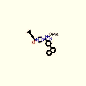 COc1nc2c(c(N3CCN(C(=O)C#CC4CC4)CC3)n1)CCC(c1cccc3ccccc13)C2